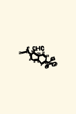 CN(C)c1ccc2cc(S(=O)(=O)Cl)ccc2c1C=O